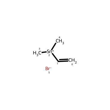 C=[CH][Sn+]([CH3])[CH3].[Br-]